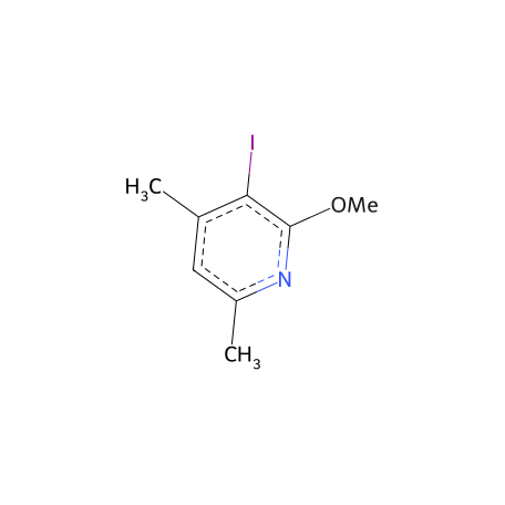 COc1nc(C)cc(C)c1I